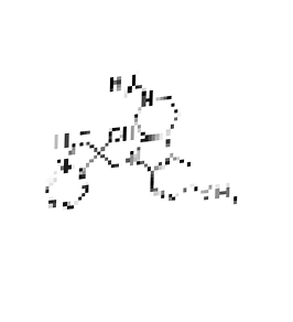 Cc1ccc2c(c1)c1c(n2CC(C)(O)c2ccccn2)CN(C)CC1